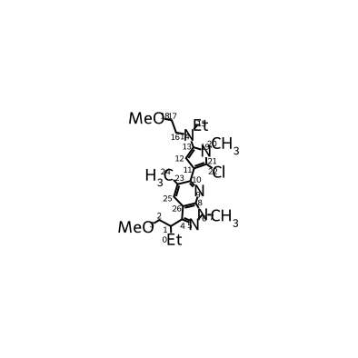 CCC(COC)c1nn(C)c2nc(-c3cc(N(CC)CCOC)n(C)c3Cl)c(C)cc12